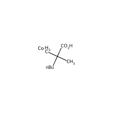 CCCCC(C)(C)C(=O)O.[Co]